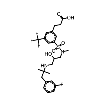 CN(CC(O)CNC(C)(C)Cc1cccc(F)c1)S(=O)(=O)c1cc(CCC(=O)O)cc(C(F)(F)F)c1